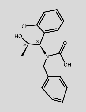 C[C@@H](O)[C@@H](c1ccccc1Cl)N(Cc1ccccc1)C(=O)O